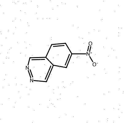 O=[N+]([O-])c1ccc2cnncc2c1